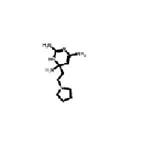 NC1=CC(N)(CCN2CCCC2)NC(N)=N1